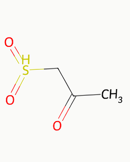 CC(=O)C[SH](=O)=O